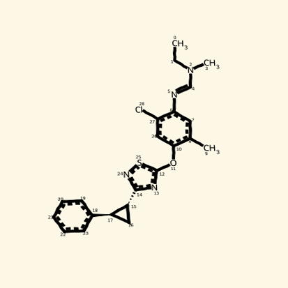 CCN(C)C=Nc1cc(C)c(Oc2nc([C@@H]3C[C@H]3c3ccccc3)ns2)cc1Cl